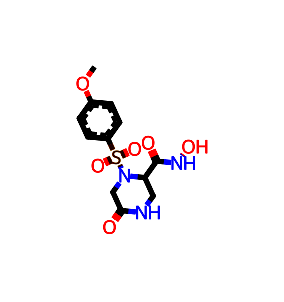 COc1ccc(S(=O)(=O)N2CC(=O)NCC2C(=O)NO)cc1